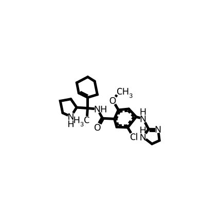 COc1cc(NC2=NCCN2)c(Cl)cc1C(=O)NC(C)(C1=CCCCC1)C1CCCN1